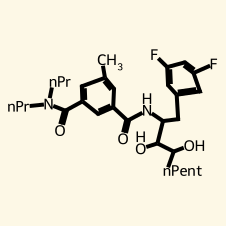 CCCCCC(O)C(O)C(Cc1cc(F)cc(F)c1)NC(=O)c1cc(C)cc(C(=O)N(CCC)CCC)c1